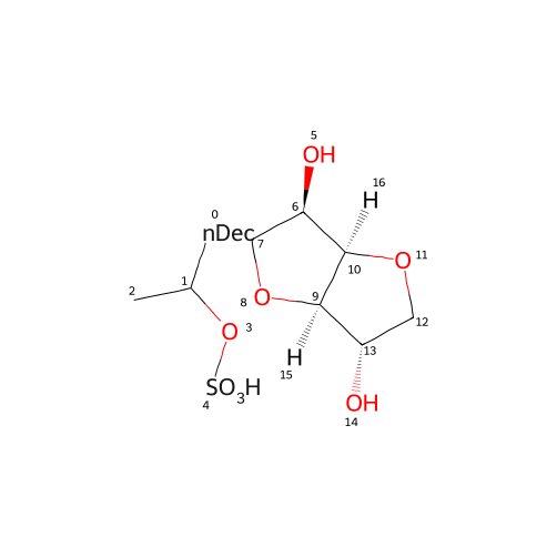 CCCCCCCCCCC(C)OS(=O)(=O)O.O[C@@H]1CO[C@H]2[C@@H]1OC[C@@H]2O